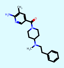 Cc1cc(C(=O)N2CCC(N(C)CCc3ccccc3)CC2)cnc1N